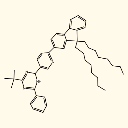 CCCCCCCCC1(CCCCCCCC)c2ccccc2-c2ccc(-c3ccc(C4N=C(C(C)(C)C)N=C(c5ccccc5)N4)cn3)cc21